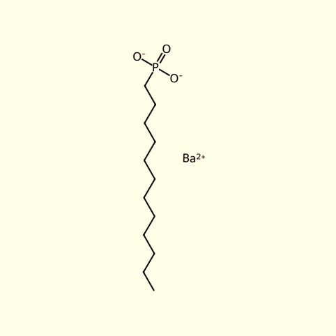 CCCCCCCCCCCCP(=O)([O-])[O-].[Ba+2]